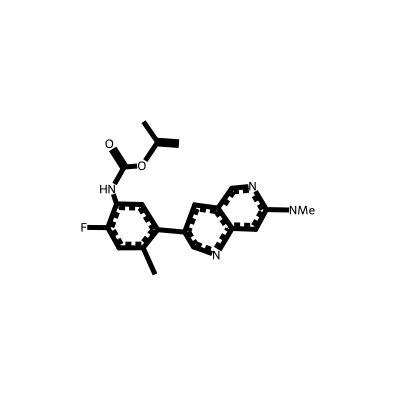 C=C(C)OC(=O)Nc1cc(-c2cnc3cc(NC)ncc3c2)c(C)cc1F